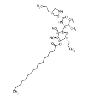 CCCCCCCCCCCCCCCC(=O)O[C@@H]1[C@@H](O)[C@@H](O)[C@@H]([C@H](NC(=O)[C@@H]2C[C@H](CCC)CN2)C(C)C)O[C@@H]1CCC